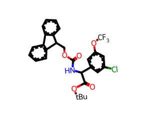 CC(C)(C)OC(=O)C(NC(=O)OCC1c2ccccc2-c2ccccc21)c1cc(Cl)cc(OC(F)(F)F)c1